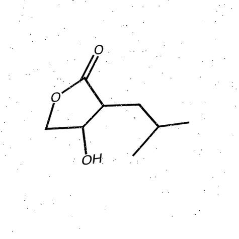 CC(C)CC1C(=O)OCC1O